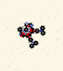 N#Cc1c(-c2ccncc2)c(-n2c3ccccc3c3ncccc32)c(-n2c3ccccc3c3cc(-c4ccc(-n5c6ccccc6c6ccccc65)cc4)ccc32)c(-n2c3ccccc3c3cc(-c4ccc(-n5c6ccccc6c6ccccc65)cc4)ccc32)c1-n1c2ccccc2c2ncccc21